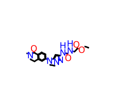 CCOC(=O)CNC(=O)Nc1cc2n(n1)CCN2c1ccc2c(c1)CCN(C)C2=O